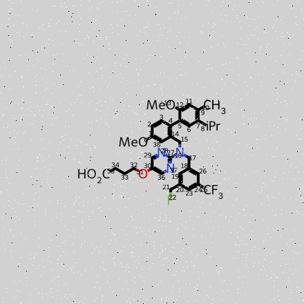 COc1ccc(-c2cc(C(C)C)c(C)cc2OC)c(CN(Cc2cc(CF)cc(C(F)(F)F)c2)c2ncc(OCCCC(=O)O)cn2)c1